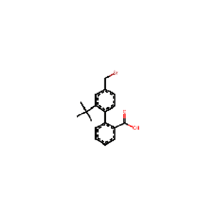 CC(C)(C)c1cc(CBr)ccc1-c1ccccc1C(=O)O